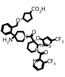 CCC[C@H]1N(C(=O)c2ncccc2C(F)(F)F)CCC[C@@]1(OC1C=C(C(F)(F)F)SC1)C(=O)N1CCC(N)(c2ccccc2CO[C@H]2CCC(C(=O)O)C2)CC1